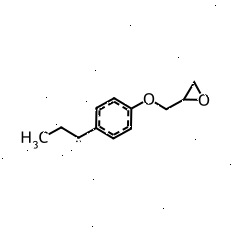 CC[C]c1ccc(OCC2CO2)cc1